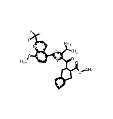 COC(=O)C1Cc2ccccc2CC1C(=O)c1nc(-c2ccc(OC)c3nc(C(F)(F)F)ccc23)oc1[C@H](C)N